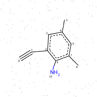 C#Cc1cc(C)cc(C)c1N